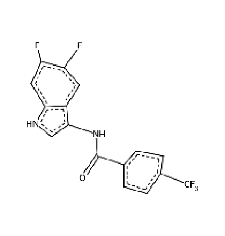 O=C(Nc1c[nH]c2cc(F)c(F)cc12)c1ccc(C(F)(F)F)cc1